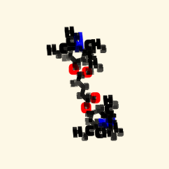 CC1(C)CC(OC(=O)CCCC(=O)OC2CC(C)(C)NC(C)(C)C2)CC(C)(C)N1